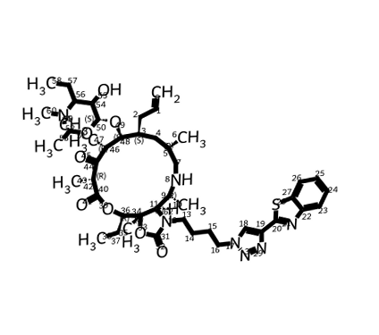 C=CC[C@H]1C[C@@H](C)CN[C@H](C)[C@H]2N(CCCCn3cc(-c4nc5ccccc5s4)nn3)C(=O)O[C@]2(C)[C@@H](CC)OC(=O)[C@H](C)C(=O)[C@H](C)[C@H]1O[C@H](OCC)C(O)C(CC)N(C)C